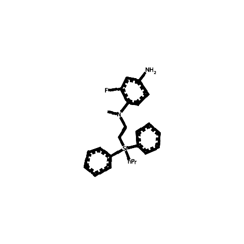 CCC[Si](CCN(C)c1ccc(N)cc1F)(c1ccccc1)c1ccccc1